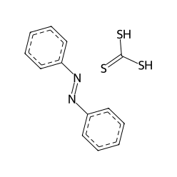 S=C(S)S.c1ccc(N=Nc2ccccc2)cc1